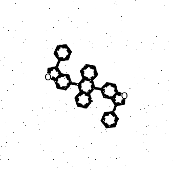 c1ccc(-c2coc3ccc(-c4c5ccccc5c(-c5ccc6occ(-c7ccccc7)c6c5)c5ccccc45)cc23)cc1